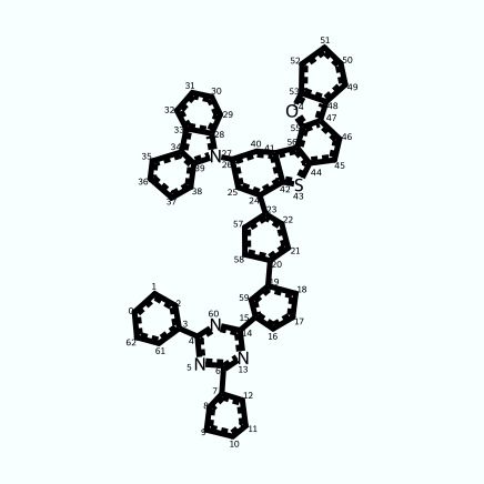 c1ccc(-c2nc(-c3ccccc3)nc(-c3cccc(-c4ccc(-c5cc(-n6c7ccccc7c7ccccc76)cc6c5sc5ccc7c8ccccc8oc7c56)cc4)c3)n2)cc1